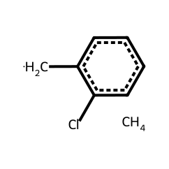 C.[CH2]c1ccccc1Cl